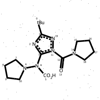 CC(C)(C)c1nc(N(C(=O)O)N2CCCC2)n(C(=O)N2CCCC2)n1